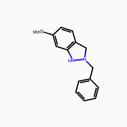 COc1ccc2c(c1)NN(Cc1ccccc1)C2